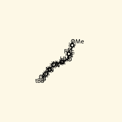 COc1ccc(COc2c(F)cc(C(=O)NCC34CCC(c5cn6ccc(-c7cnc(N8CCN(C(=O)OC(C)(C)C)CC8)cn7)cc6n5)(CC3)CC4)c(F)c2F)cc1